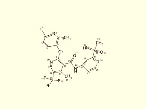 Cc1nc(F)ccc1Oc1ncc(C(F)(F)F)c(C)c1C(=O)Nc1ccnc(S(C)(=N)=O)c1